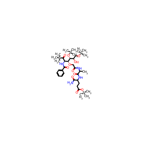 CC(NC(=O)CO[C@@H]([C@H](O[Si](C)(C)C)[C@H](O)CO[Si](C)(C)C)[C@@H](NC(=O)c1ccccc1)C(=O)[Si](C)(C)C)C(=O)NC(CCC(=O)O[Si](C)(C)C)C(N)=O